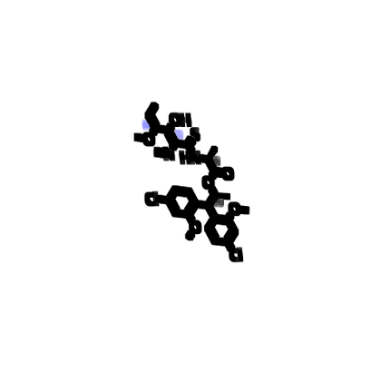 C=N/C(C(=S)N[C@@H](C)C(=O)O[C@@H](C)C(c1ccc(Cl)cc1OC)c1ccc(Cl)cc1OC)=C(O)\C(=C/C)OC